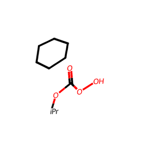 C1CCCCC1.CC(C)OC(=O)OO